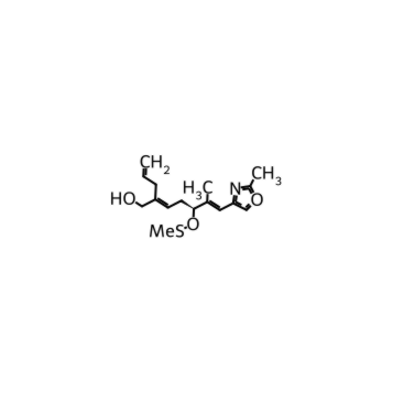 C=CC/C(=C\C[C@H](OSC)/C(C)=C/c1coc(C)n1)CO